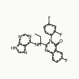 CCC(Nc1ncnc2[nH]cnc12)c1nc2ccc(F)cc2c(=O)n1-c1ccc(F)cc1F